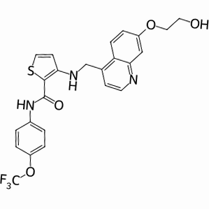 O=C(Nc1ccc(OC(F)(F)F)cc1)c1sccc1NCc1ccnc2cc(OCCO)ccc12